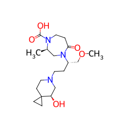 COC[C@H](CCN1CCC2(CC2)[C@H](O)C1)N1C[C@@H](C)N(C(=O)O)CCC1=O